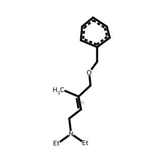 CCN(CC)C/C=C(\C)COCc1ccccc1